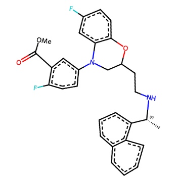 COC(=O)c1cc(N2CC(CCN[C@H](C)c3cccc4ccccc34)Oc3ccc(F)cc32)ccc1F